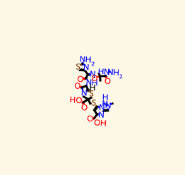 CN1C=C2N=C(C(=O)O)C=C(SCC3(C(=O)O)CS[C@@H]4C(NC(=O)C(=NOC(C)(C)C(=O)NN)c5csc(N)n5)C(=O)N4C3)N2N1